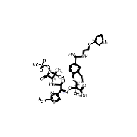 CC1(C)[C@H](NC(=O)/C(=N\O[C@](C)(C(=O)O)[C@H]2CCc3cc(C(=N)NCCO[C@H]4CCNC4)ccc3O2)c2csc(N)n2)C(=O)N1OS(=O)(=O)O